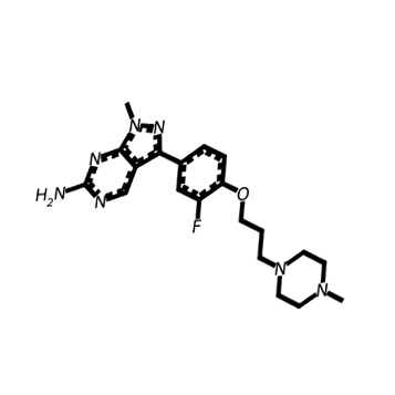 CN1CCN(CCCOc2ccc(-c3nn(C)c4nc(N)ncc34)cc2F)CC1